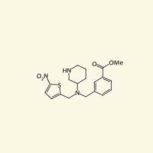 COC(=O)c1cccc(CN(Cc2ccc([N+](=O)[O-])s2)C2CCCNC2)c1